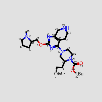 COCCC1CN(c2nc(OCC3CCCN3C)nc3c2CCNC3)CCN1C(=O)OC(C)(C)C